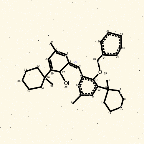 CC1=C/C(=C/c2cc(C)cc(C3(C)CCCCC3)c2OCc2ccccc2)C(O)C(C2(C)CCCCC2)=C1